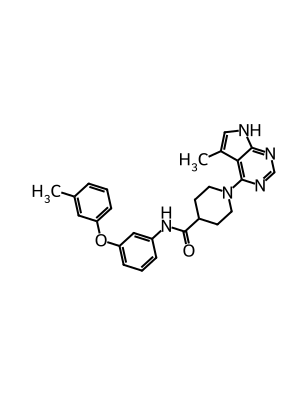 Cc1cccc(Oc2cccc(NC(=O)C3CCN(c4ncnc5[nH]cc(C)c45)CC3)c2)c1